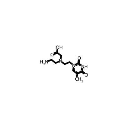 Cc1cn(CCN(CCN)CC(=O)O)c(=O)[nH]c1=O